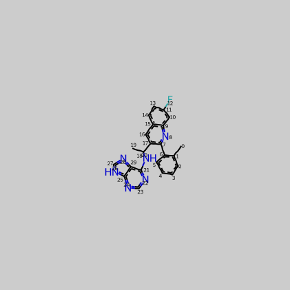 Cc1ccccc1-c1nc2cc(F)ccc2cc1C(C)Nc1ncnc2[nH]cnc12